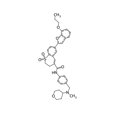 CCCOc1cccc2cc(-c3ccc4c(c3)C=C(C(=O)Nc3ccc(CN(C)C5CCOCC5)cc3)CCS4(=O)=O)oc12